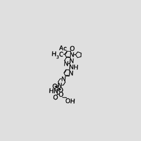 CC(=O)c1c(C)c2cnc(Nc3ccc(N4CCN(S(=O)(=O)NC(=O)OCCO)CC4)cn3)nc2n(C2CCCC2)c1=O